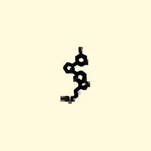 O=C(O)/C=C/c1cnn2ccc(N3CCCC3c3cncc(F)c3)nc12